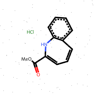 COC(=O)C1=CC=Cc2ccccc2N1.Cl